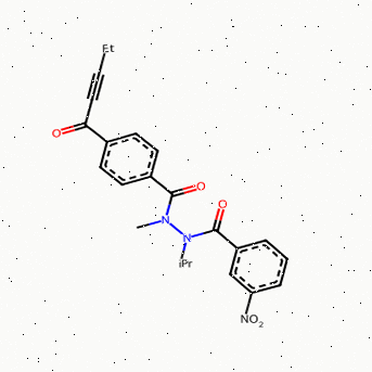 CCC#CC(=O)c1ccc(C(=O)N(C)N(C(=O)c2cccc([N+](=O)[O-])c2)C(C)C)cc1